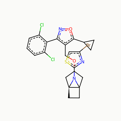 Clc1cccc(Cl)c1-c1noc(C2CC2)c1CO[C@@H]1CC23CC[C@@]2(C1)N3c1nc(Br)cs1